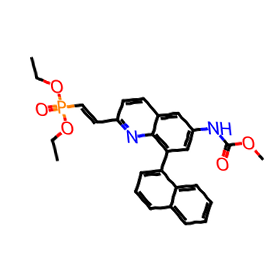 CCOP(=O)(C=Cc1ccc2cc(NC(=O)OC)cc(-c3cccc4ccccc34)c2n1)OCC